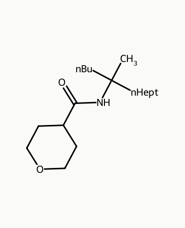 CCCCCCCC(C)(CCCC)NC(=O)C1CCOCC1